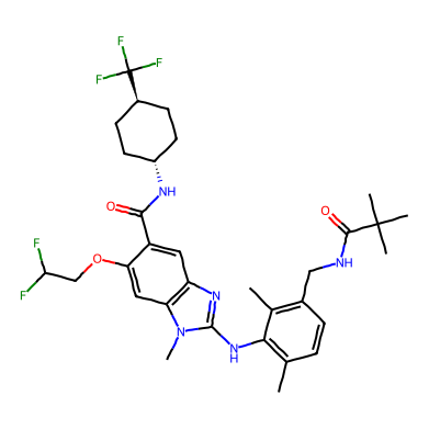 Cc1ccc(CNC(=O)C(C)(C)C)c(C)c1Nc1nc2cc(C(=O)N[C@H]3CC[C@H](C(F)(F)F)CC3)c(OCC(F)F)cc2n1C